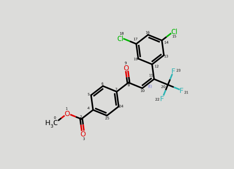 COC(=O)c1ccc(C(=O)/C=C(\c2cc(Cl)cc(Cl)c2)C(F)(F)F)cc1